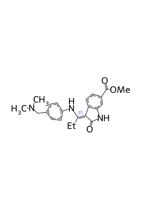 CC/C(Nc1ccc(CN(C)C)cc1)=C1\C(=O)Nc2cc(C(=O)OC)ccc21